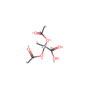 CC(=O)O[Si](C)(OC(C)=O)C(=O)O